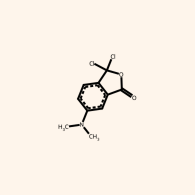 CN(C)c1ccc2c(c1)C(=O)OC2(Cl)Cl